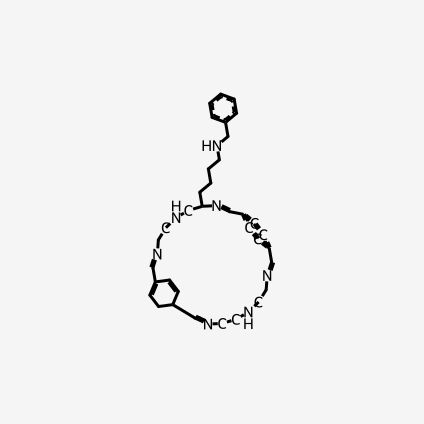 C1=CC2/C=N/CCNCC/N=C/c3ccc(cc3)/C=N/C(CCCCNCc3ccccc3)CNCC/N=C/C1=CC2